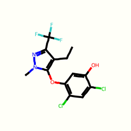 CCc1c(C(F)(F)F)nn(C)c1Oc1cc(O)c(Cl)cc1Cl